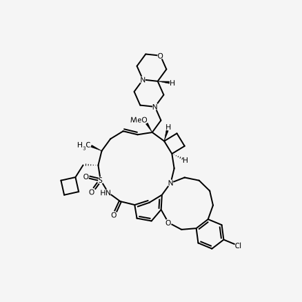 CO[C@]1(CN2CCN3CCOC[C@@H]3C2)/C=C/C[C@H](C)[C@@H](CC2CCC2)S(=O)(=O)NC(=O)c2ccc3c(c2)N(CCCCc2cc(Cl)ccc2CO3)C[C@@H]2CC[C@H]21